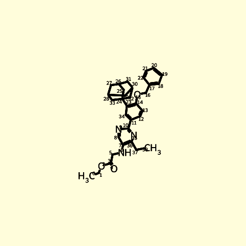 CCOC(=O)CNc1cnc(-c2ccc(OCc3ccccc3)c(C34CC5CC(CC(C5)C3)C4)c2)nc1CC